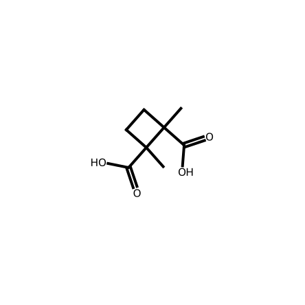 CC1(C(=O)O)CCC1(C)C(=O)O